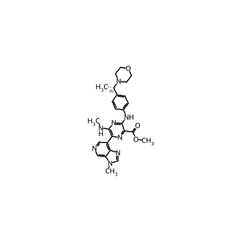 CNc1nc(Nc2ccc([C@H](C)N3CCOCC3)cc2)c(C(=O)OC)nc1-c1cncc2c1ncn2C